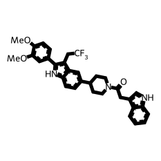 COc1ccc(-c2[nH]c3ccc(C4CCN(C(=O)Cc5c[nH]c6ccccc56)CC4)cc3c2CC(F)(F)F)cc1OC